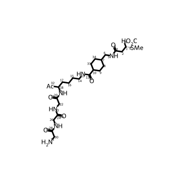 CS[C@H](CC(=O)NCC1CCC(C(=O)NCCCCC(NC(=O)CNC(=O)CNC(=O)CN)C(C)=O)CC1)C(=O)O